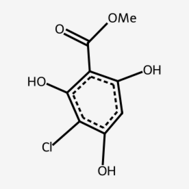 COC(=O)c1c(O)cc(O)c(Cl)c1O